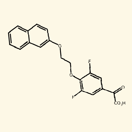 O=C(O)C(=O)c1cc(F)c(OCCOc2ccc3ccccc3c2)c(F)c1